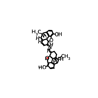 CN1CC[C@]23c4c5ccc(O)c4O[C@H]2C(=NN=C2CC[C@H]4[C@H]6Cc7ccc(O)c8c7[C@@]4(CCN6C)[C@H]2O8)C=C[C@H]3[C@H]1C5